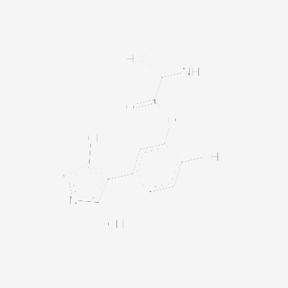 Cc1ccc(-c2c(C)noc2C)cc1OC(=O)C(C)N